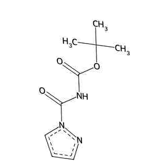 CC(C)(C)OC(=O)NC(=O)n1cccn1